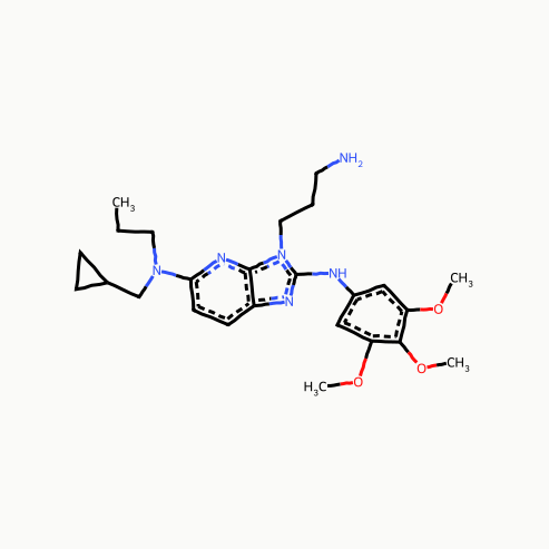 CCCN(CC1CC1)c1ccc2nc(Nc3cc(OC)c(OC)c(OC)c3)n(CCCN)c2n1